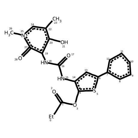 CCC(=O)Oc1sc(-c2ccccc2)cc1NC(=O)Nc1c(O)c(C)cn(C)c1=O